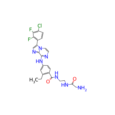 CCc1cc(Nc2nccn3c(-c4ccc(Cl)c(F)c4F)cnc23)ccc1C(=O)NCCNC(=O)CN